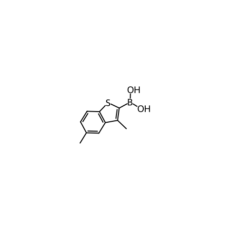 Cc1ccc2sc(B(O)O)c(C)c2c1